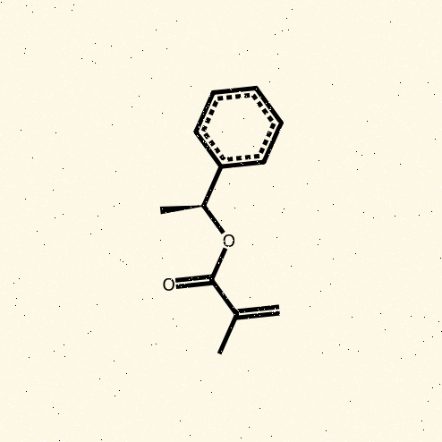 C=C(C)C(=O)O[C@@H](C)c1ccccc1